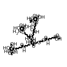 COP(=O)(O)OCCCCNC(=O)COCCOCCNC(=O)[C@H](CCCCNC(=O)CCCCO[C@@H]1O[C@H](CO)[C@H](O)[C@H](O)[C@H]1NC(C)=O)NC(=O)[C@H](CCCCNC(=O)CCCCO[C@@H]1O[C@H](CO)[C@H](O)[C@H](O)[C@H]1NC(C)=O)NC(=O)CCCCO[C@@H]1O[C@H](CO)[C@H](O)[C@H](O)[C@H]1N